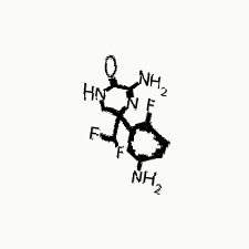 NC1=NC(c2cc(N)ccc2F)(C(F)F)CNC1=O